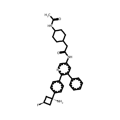 CC(=O)NC1CCC(CC(=O)Nc2cnc(-c3ccc([C@]4(N)C[C@H](F)C4)cc3)c(-c3ccccc3)c2)CC1